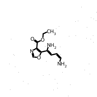 CCOC(=O)c1ncoc1/C(N)=C/C=C\N